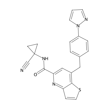 N#CC1(NC(=O)c2cc(Cc3ccc(-n4cccn4)cc3)c3sccc3n2)CC1